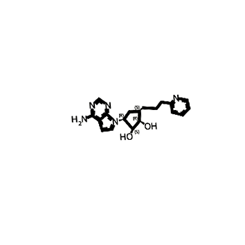 Nc1ncnc2c1ccn2[C@@H]1C[C@H](CCCc2ccccn2)[C@@H](O)[C@H]1O